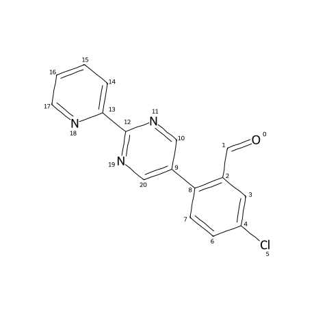 O=Cc1cc(Cl)ccc1-c1cnc(-c2ccccn2)nc1